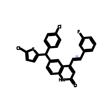 O=c1cc(/C=C/c2cccc(F)c2)c2cc(C(c3ccc(Cl)cc3)c3ccc(Cl)s3)ccc2[nH]1